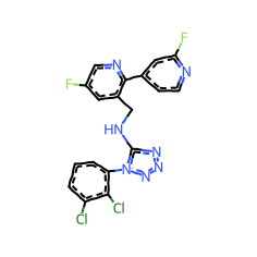 Fc1cnc(-c2ccnc(F)c2)c(CNc2nnnn2-c2cccc(Cl)c2Cl)c1